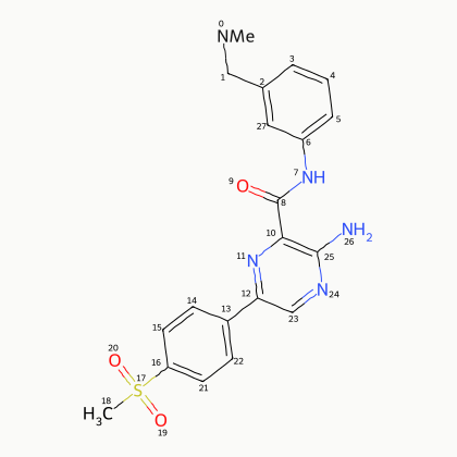 CNCc1cccc(NC(=O)c2nc(-c3ccc(S(C)(=O)=O)cc3)cnc2N)c1